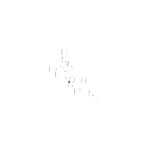 Nc1ncc(-c2cc([C@H]3[C@@H]4C[C@H](N5CCOCC5)C[C@@H]43)n(C3CCC3)n2)cc1OC(F)F